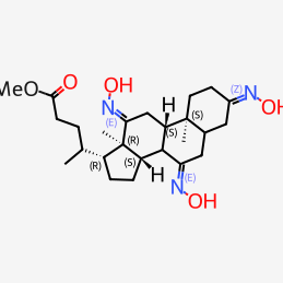 COC(=O)CCC(C)[C@H]1CC[C@H]2C3/C(=N/O)CC4C/C(=N\O)CC[C@]4(C)[C@H]3C/C(=N\O)[C@]12C